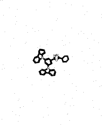 c1ccc2c(c1)c1ccccc1n2-c1cc(-c2nnc(C3CCCCC3)o2)cc(-n2c3ccccc3c3ccccc32)c1